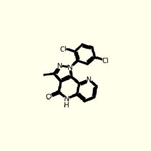 Cc1nn(-c2cc(Cl)ccc2Cl)c2c1c(=O)[nH]c1cccnc12